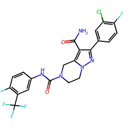 NC(=O)c1c(-c2ccc(F)c(Cl)c2)nn2c1CN(C(=O)Nc1ccc(F)c(C(F)(F)F)c1)CC2